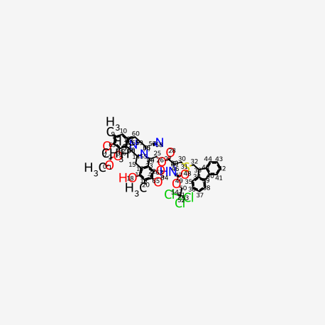 COCOc1c(OC)c(C)cc2c1[C@@H]1C3Cc4c(O)c(C)c5c(c4[C@H](COC(=O)[C@@H](CSCC4c6ccccc6-c6ccccc64)NC(=O)OCC(Cl)(Cl)Cl)N3[C@@H](C#N)C(C2)N1C)OCO5